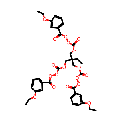 CCOc1cccc(C(=O)OOC(=O)OCC(CC)(COC(=O)OOC(=O)c2cccc(OCC)c2)COC(=O)OOC(=O)c2cccc(OCC)c2)c1